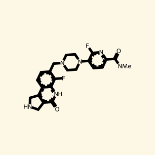 CNC(=O)c1ccc(N2CCN(Cc3ccc4c5c(c(=O)[nH]c4c3F)CNC5)CC2)c(F)n1